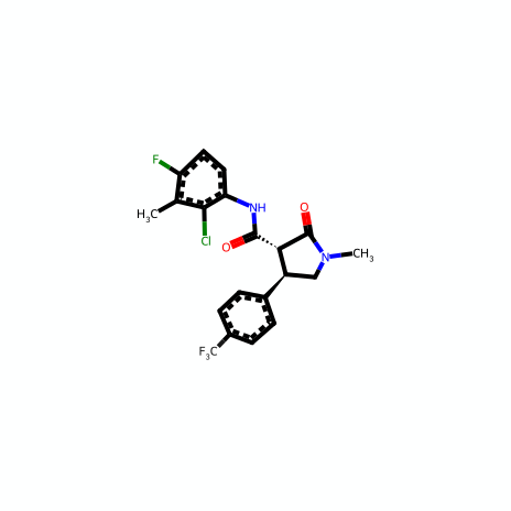 Cc1c(F)ccc(NC(=O)[C@@H]2C(=O)N(C)C[C@H]2c2ccc(C(F)(F)F)cc2)c1Cl